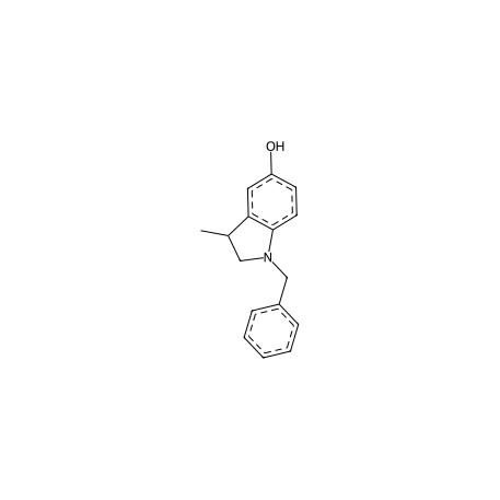 CC1CN(Cc2ccccc2)c2ccc(O)cc21